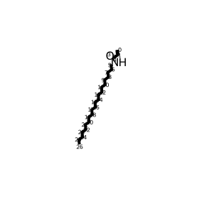 C=CC(=O)NCCCCCCCCCCCCCCCCCCCCCC